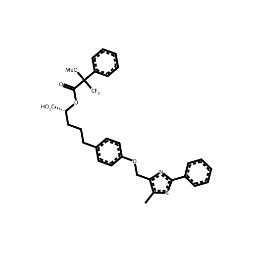 COC(C(=O)O[C@H](CCCc1ccc(OCc2nc(-c3ccccc3)sc2C)cc1)C(=O)O)(c1ccccc1)C(F)(F)F